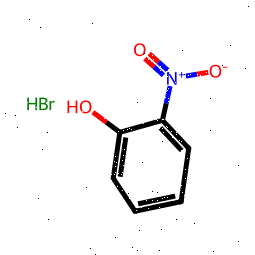 Br.O=[N+]([O-])c1ccccc1O